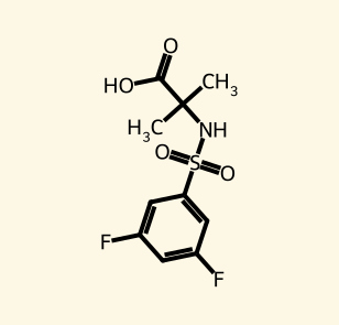 CC(C)(NS(=O)(=O)c1cc(F)cc(F)c1)C(=O)O